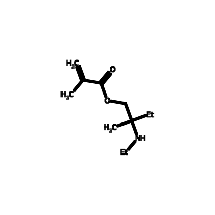 C=C(C)C(=O)OCC(C)(CC)NCC